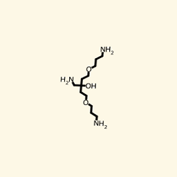 NCCCOCCC(O)(CN)CCOCCCN